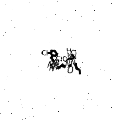 CCCCn1c(=O)n(CCCn2nnc(Cc3c(Cl)cccc3Cl)n2)c(=O)c2[nH]c(Cl)nc21